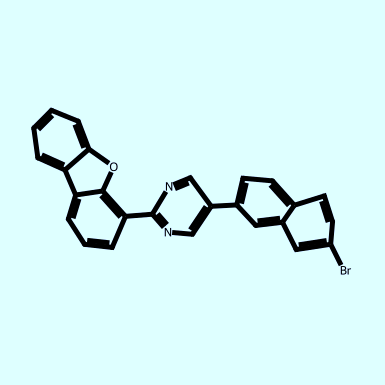 Brc1ccc2ccc(-c3cnc(-c4cccc5c4oc4ccccc45)nc3)cc2c1